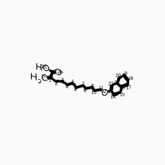 C=C(CCCCCCCCCCOc1ccc2ccccc2c1)C(=O)O